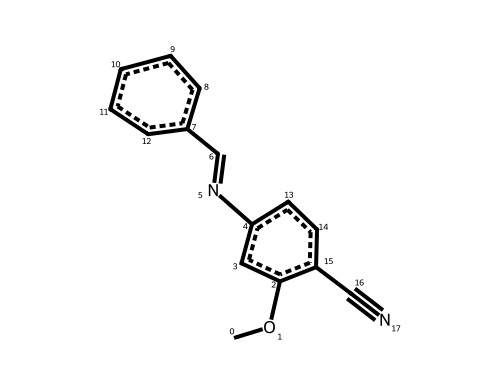 COc1cc(N=Cc2ccccc2)ccc1C#N